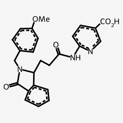 COc1ccc(CN2C(=O)c3ccccc3C2CCC(=O)Nc2ccc(C(=O)O)cn2)cc1